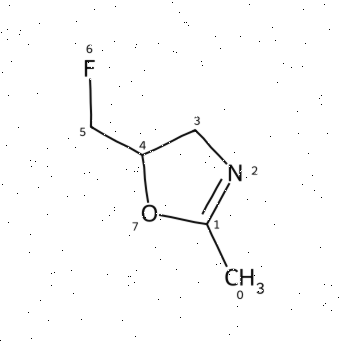 CC1=NCC(CF)O1